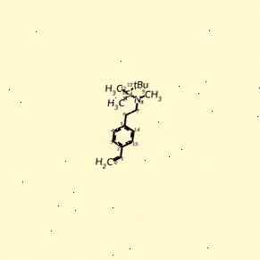 C=Cc1ccc(CCN(C)[Si](C)(C)C(C)(C)C)cc1